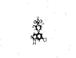 C[C@@H]1CN(c2cc(Cl)cc3[nH]ncc23)C[C@@H](C)N1S(C)(=O)=O